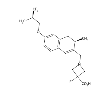 C[C@@H]1Cc2cc(OC[C@@H](C)C(F)(F)F)ccc2C=C1CN1CC(F)(C(=O)O)C1